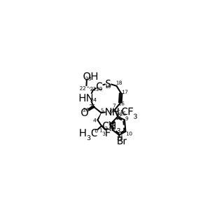 CC(C)(F)C[C@@H]1N[C@@](c2ccc(Br)cc2)(C(F)(F)F)C#CCSC[C@@H](CO)NC1=O